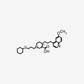 COc1ccc2nccc(CCC[C@@H]3CCN(CCCSC4CCCCC4)C[C@@H]3C(=O)O)c2c1